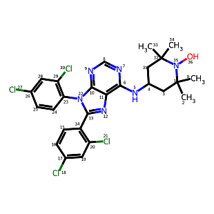 CC1(C)CC(Nc2ncnc3c2nc(-c2ccc(Cl)cc2Cl)n3-c2ccc(Cl)cc2Cl)CC(C)(C)N1O